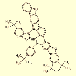 CC(C)(C)c1ccc(Nc2cc3c(cc2-c2ccc4c5cc6oc7ccccc7c6cc5n5c4c2Bc2sc4ccc(C(C)(C)C)cc4c2-5)oc2cc4c(cc23)C(C)(C)CCC4(C)C)cc1